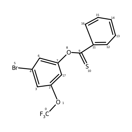 FC(F)(F)Oc1cc(Br)cc(OC(=S)c2ccccc2)c1